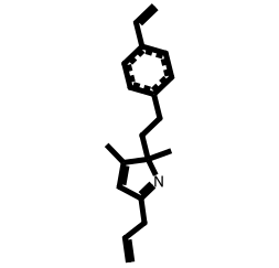 C=CCC1=NC(C)(CCc2ccc(C=C)cc2)C(C)=C1